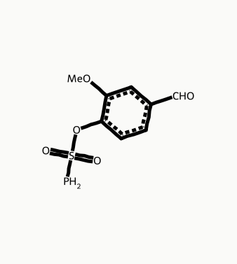 COc1cc(C=O)ccc1OS(=O)(=O)P